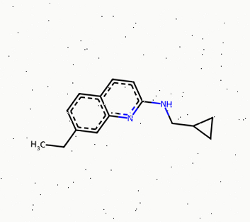 CCc1ccc2ccc(NCC3CC3)nc2c1